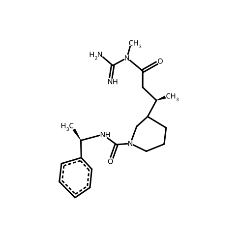 C[C@H](CC(=O)N(C)C(=N)N)C1CCCN(C(=O)N[C@H](C)c2ccccc2)C1